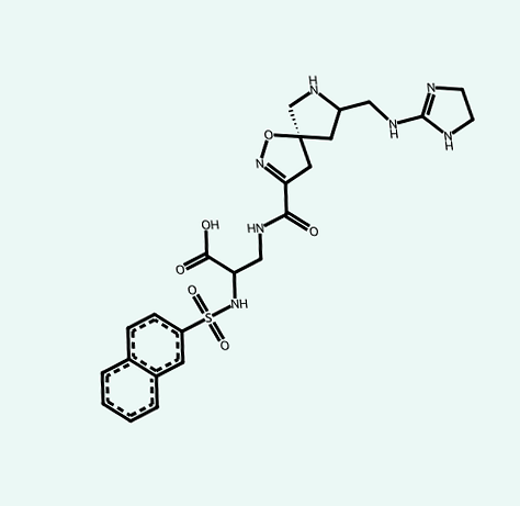 O=C(NCC(NS(=O)(=O)c1ccc2ccccc2c1)C(=O)O)C1=NO[C@]2(CNC(CNC3=NCCN3)C2)C1